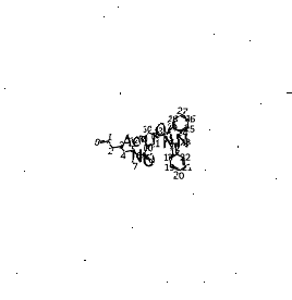 C=CCCCCN(C)C(=O)[C@@H]1C[C@H](Oc2nc(-c3ccccc3)nc3ccccc23)C[C@H]1C(C)=O